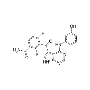 NC(=O)c1ccc(F)c(C(=O)c2c[nH]c3ncnc(Nc4cccc(O)c4)c23)c1F